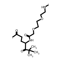 CC(C)(C)C(=O)C(CCC(=O)I)NC(=O)COCCOCCNI